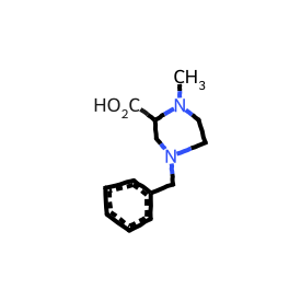 CN1CCN(Cc2ccccc2)CC1C(=O)O